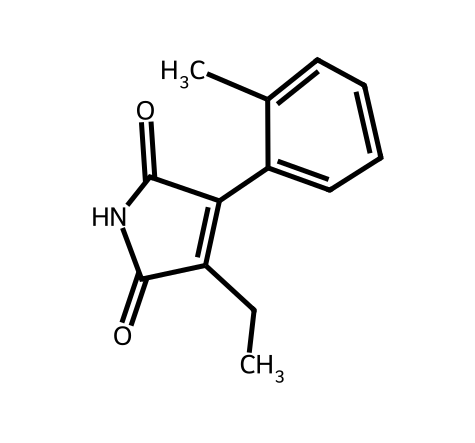 CCC1=C(c2ccccc2C)C(=O)NC1=O